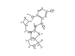 COc1ccc(Cl)cc1C(=O)/N=c1\sc2c(n1CC1CCC1)CCOC2(C)C